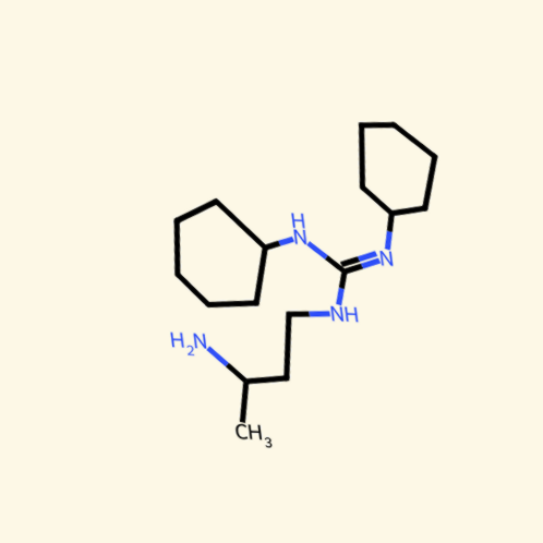 CC(N)CCNC(=NC1CCCCC1)NC1CCCCC1